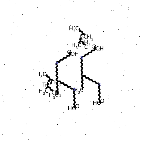 CCCCC(CC)COCC(CC)CCCC.CCCCC(CC)COCC(CC)CCCC.CCCCCCCC(CCCCCCCC/C=C\CCCCCCCC(=O)O)CCCCCCCC/C=C\CCCCCCCC(=O)O.CCCCCCCC(CCCCCCCC/C=C\CCCCCCCC(=O)O)CCCCCCCC/C=C\CCCCCCCC(=O)O.[Ti]